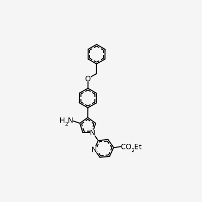 CCOC(=O)c1ccnc(-n2cc(N)c(-c3ccc(OCc4ccccc4)cc3)c2)c1